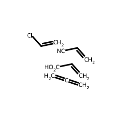 C=C=C.C=CC#N.C=CC(=O)O.C=CCl